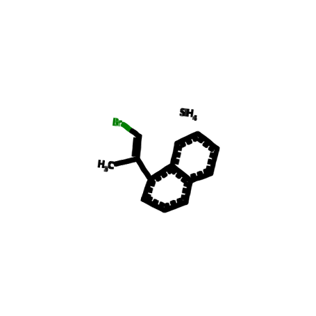 CC(=CBr)c1cccc2ccccc12.[SiH4]